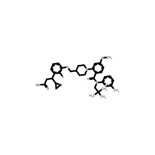 COc1ccc(C(=O)N(CC(C)(C)C)c2cccc(C)n2)c(N2CCC(COc3cccc(C(CC(=O)O)C4CC4)c3F)CC2)c1